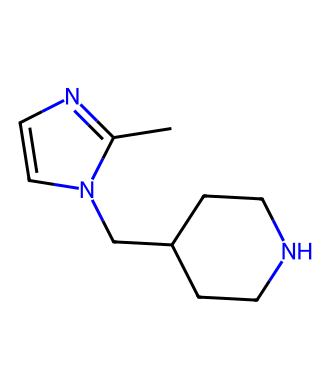 Cc1nccn1CC1CCNCC1